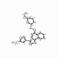 Cc1cc(-c2nnc3c4ccccc4c(OCc4cccc(OC(C)C)n4)nn23)no1